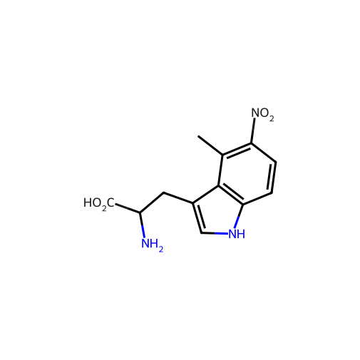 Cc1c([N+](=O)[O-])ccc2[nH]cc(CC(N)C(=O)O)c12